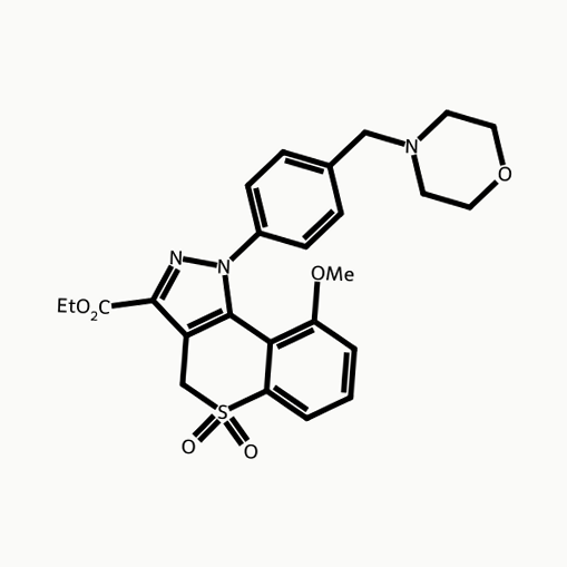 CCOC(=O)c1nn(-c2ccc(CN3CCOCC3)cc2)c2c1CS(=O)(=O)c1cccc(OC)c1-2